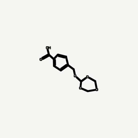 O=C(O)c1ccc(COC2OCOCO2)cc1